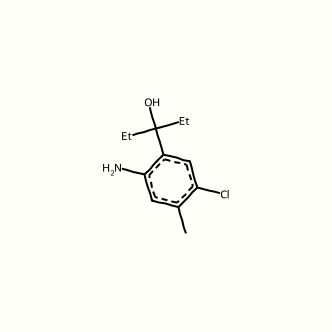 CCC(O)(CC)c1cc(Cl)c(C)cc1N